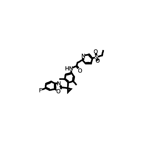 CCS(=O)(=O)c1ccc(CC(=O)Nc2cc(C)c(C3(c4nc5ccc(F)cc5o4)CC3)c(C)c2)nc1